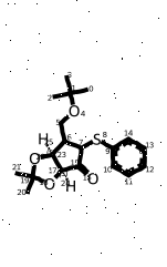 CC(C)(C)OCC1C(Sc2ccccc2)C(=O)[C@H]2OC(C)(C)O[C@@H]12